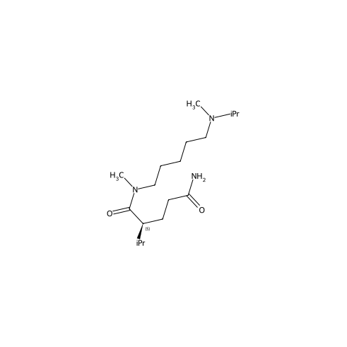 CC(C)[C@H](CCC(N)=O)C(=O)N(C)CCCCCN(C)C(C)C